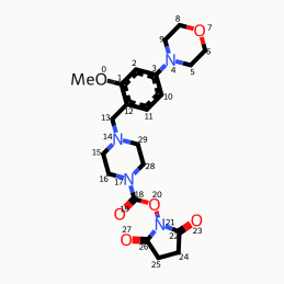 COc1cc(N2CCOCC2)ccc1CN1CCN(C(=O)ON2C(=O)CCC2=O)CC1